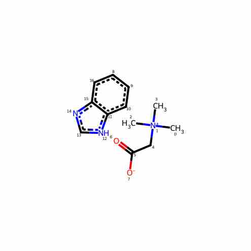 C[N+](C)(C)CC(=O)[O-].c1ccc2[nH]cnc2c1